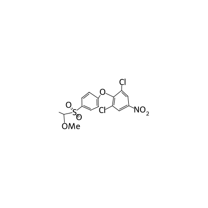 COC(C)S(=O)(=O)c1ccc(Oc2c(Cl)cc([N+](=O)[O-])cc2Cl)cc1